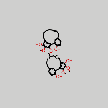 COc1c2cc(c(O)c1OC)CCCC(COc1c3cc(c(O)c1OC)CCCC/C=C\Cc1ccc(O)c-3c1)CCCc1ccc(O)c-2c1